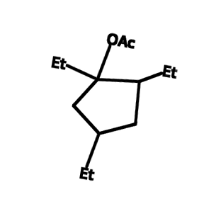 CCC1CC(CC)C(CC)(OC(C)=O)C1